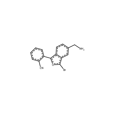 N#Cc1ccccc1-c1oc(Br)c2cc(CN)ccc12